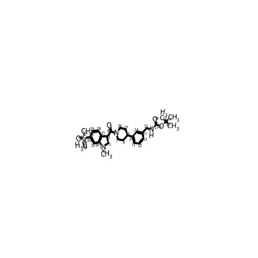 CN1CC(C(=O)N2CCC(c3cccc(CNC(=O)OC(C)(C)C)c3)CC2)c2ccc([SH](C)(C)=O)cc21